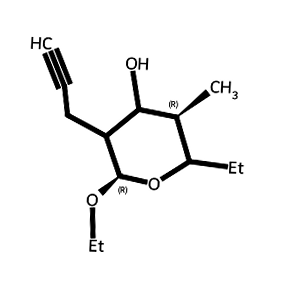 C#CCC1C(O)[C@@H](C)C(CC)O[C@H]1OCC